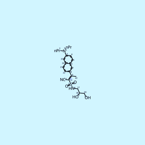 CCCN(CCC)c1ccc2cc(/C(C)=C(\C#N)S(=O)(=O)NCC(O)CO)ccc2c1